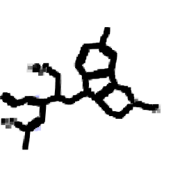 C=C/C=C(\C=C(\C)N)C(CC(=O)O)Cn1c2c(c3cc(C)ccc31)CN(CC)CC2